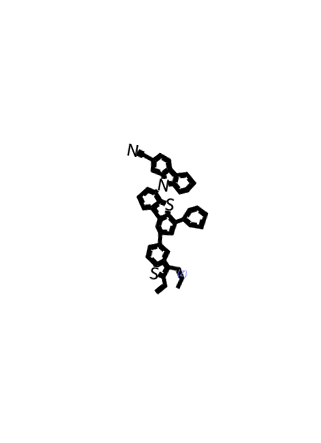 C=Cc1sc2ccc(-c3cc(-c4ccccc4)c4sc5c(-n6c7ccccc7c7ccc(C#N)cc76)cccc5c4c3)cc2c1/C=C\C